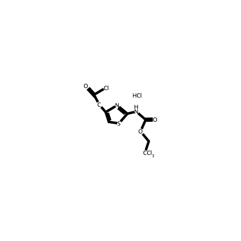 Cl.O=C(Cl)Cc1csc(NC(=O)OCC(Cl)(Cl)Cl)n1